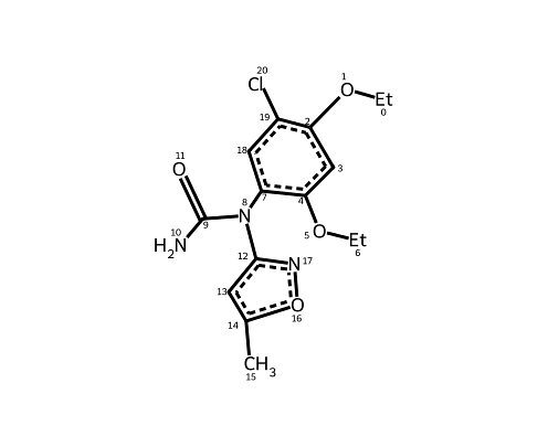 CCOc1cc(OCC)c(N(C(N)=O)c2cc(C)on2)cc1Cl